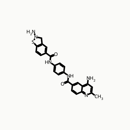 Cc1cc(N)c2cc(C(=O)Nc3ccc(NC(=O)c4ccc5c(c4)CN(N)S5)cc3)ccc2n1